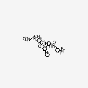 CN(CCN1CCOCC1)Cc1cccc(C(=O)Nc2ccc(N3CCCCC3)cc2-c2cc(C(=O)NCc3cccc(C(F)(F)F)c3)ccn2)n1